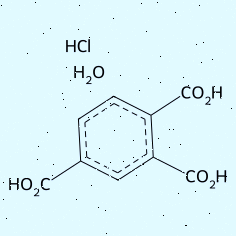 Cl.O.O=C(O)c1ccc(C(=O)O)c(C(=O)O)c1